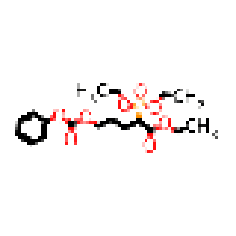 CCOC(=O)C(CCCOC(=O)Oc1ccccc1)P(=O)(OCC)OCC